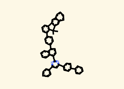 CC1(C)c2cc3ccccc3cc2-c2cccc(-c3ccc(-c4ccc(-c5nc(-c6ccccc6)cc(-c6ccc(-c7ccccc7)cc6)n5)c5ccccc45)cc3)c21